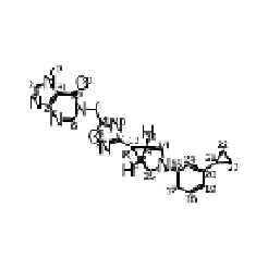 Cn1cnc2ncn(Cc3nc([C@H]4[C@@H]5CN(c6cccc(C7CC7)c6)C[C@@H]54)no3)c(=O)c21